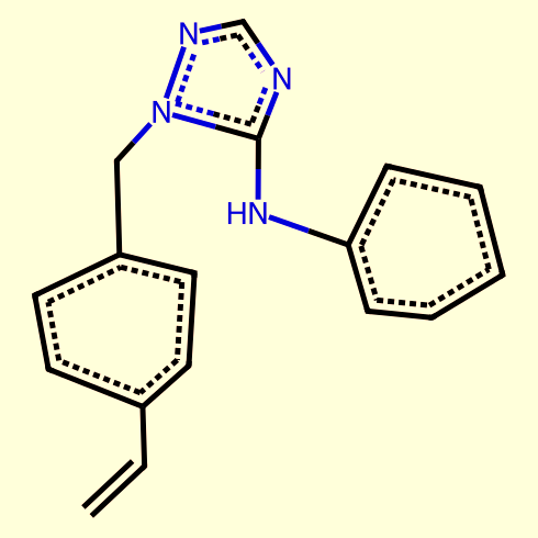 C=Cc1ccc(Cn2ncnc2Nc2ccccc2)cc1